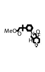 COC(=O)CC(C)(C)c1cccc(N2C[C@@H]3CN(C)CC[C@]3(F)C2=O)c1